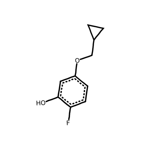 Oc1cc(OCC2CC2)ccc1F